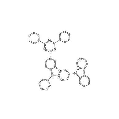 c1ccc(-c2nc(-c3ccccc3)nc(-c3ccc4c(c3)c3cc(-n5c6ccccc6c6ccccc65)ccc3n4-c3ccccc3)n2)cc1